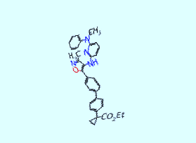 CCOC(=O)C1(c2ccc(-c3ccc(-c4onc(C)c4Nc4cccc(N(C)c5ccccc5)n4)cc3)cc2)CC1